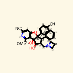 COc1nc(C#N)cc2c1C1(O)C(O)C(CN3CCC3)C(c3ccccc3)C1(c1ccc(C#N)cc1)O2